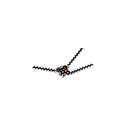 CCCCCCCCCCCCCCCCOc1ccc(-c2c(OC)c(OC)c(OC)c(C([O])(c3ccc(OCCCCCCCCCCCCCCCC)cc3)c3ccc(OCCCCCCCCCCCCCCCC)cc3)c2[N+](=O)[O-])cc1